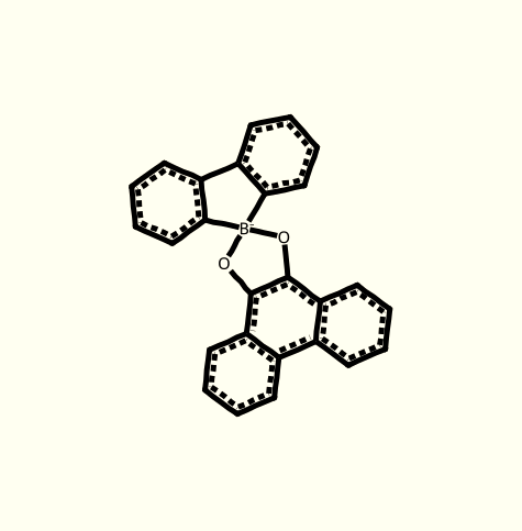 c1ccc2c(c1)-c1ccccc1[B-]21Oc2c(c3ccccc3c3ccccc23)O1